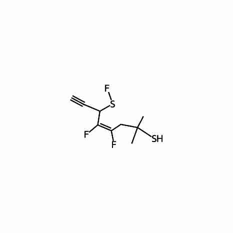 C#CC(SF)/C(F)=C(/F)CC(C)(C)S